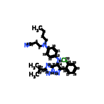 CCCCN(CCC#N)c1ccc(/N=C2/C(c3ccccc3Cl)=Nn3nc(C(C)C)nc32)cc1